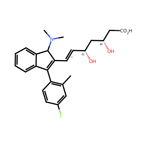 Cc1cc(F)ccc1C1=C(/C=C/[C@@H](O)C[C@@H](O)CC(=O)O)C(N(C)C)c2ccccc21